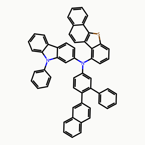 c1ccc(-c2cc(N(c3ccc4c5ccccc5n(-c5ccccc5)c4c3)c3cccc4sc5c6ccccc6ccc5c34)ccc2-c2ccc3ccccc3c2)cc1